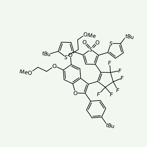 COCCOc1cc2oc(-c3ccc(C(C)(C)C)cc3)c(C3=C(C4=C(c5ccc(C(C)(C)C)s5)S(=O)(=O)C(c5ccc(C(C)(C)C)s5)=C4)C(F)(F)C(F)(F)C3(F)F)c2cc1OCCOC